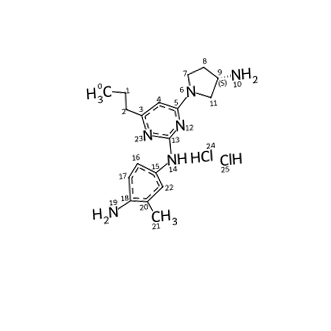 CCCc1cc(N2CC[C@H](N)C2)nc(Nc2ccc(N)c(C)c2)n1.Cl.Cl